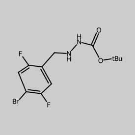 CC(C)(C)OC(=O)NNCc1cc(F)c(Br)cc1F